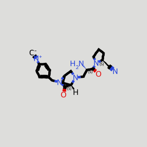 [C-]#[N+]c1ccc(CN2C(=O)[C@@H]3CC2CN3C[C@H](N)C(=O)N2CCC[C@H]2C#N)cc1